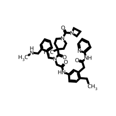 CCc1ccc(NC(=O)CN(Cc2ccccc2CNC)C(=O)C2(C)CCN(C(=O)N3CCC3)CC2)cc1CC(=O)Nc1ccccn1